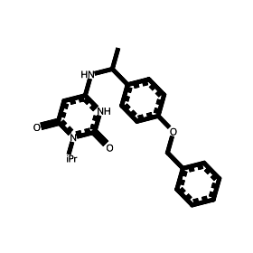 CC(Nc1cc(=O)n(C(C)C)c(=O)[nH]1)c1ccc(OCc2ccccc2)cc1